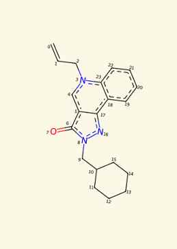 C=CCn1cc2c(=O)n(CC3CCCCC3)nc-2c2ccccc21